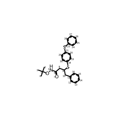 CC(C)(C)ONC(=O)CC(Cc1ccccc1)Sc1ccc(Sc2ccccc2)cc1